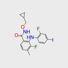 Cc1ccc(C(=O)NOCC2CC2)c(Nc2ccc(I)cc2F)c1F